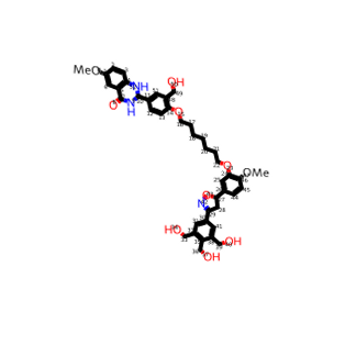 COc1ccc2c(c1)C(=O)NC(c1ccc(OCCCCCCCOc3cc(C4CC(c5cc(CO)c(CO)c(CO)c5)=NO4)ccc3OC)c(CO)c1)N2